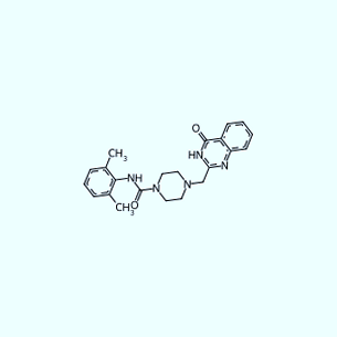 Cc1cccc(C)c1NC(=O)N1CCN(Cc2nc3ccccc3c(=O)[nH]2)CC1